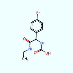 CCNC(=O)C(NC(=O)O)c1ccc(Br)cc1